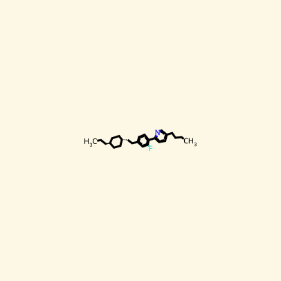 CCCCc1ccc(-c2ccc(CC[C@H]3CC[C@H](CCC)CC3)cc2F)nc1